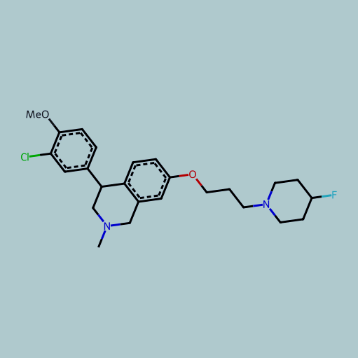 COc1ccc(C2CN(C)Cc3cc(OCCCN4CCC(F)CC4)ccc32)cc1Cl